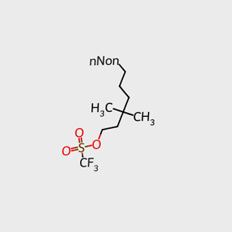 CCCCCCCCCCCCC(C)(C)CCOS(=O)(=O)C(F)(F)F